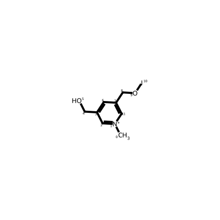 C[n+]1cc(CO)cc(COI)c1